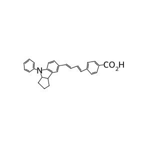 O=C(O)c1ccc(C=CC=Cc2ccc3c(c2)C2CCCC2N3c2ccccc2)cc1